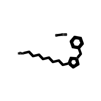 CCCCCCCCCCCCCCCCCCn1cc[n+](Cc2ccccc2)c1.O=C[O-]